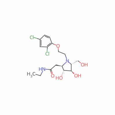 CCNC(=O)C[C@@H]1[C@@H](O)[C@H](O)[C@@H](CO)N1CCOc1ccc(Cl)cc1Cl